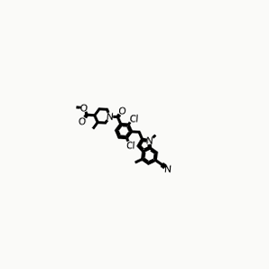 COC(=O)C1CCN(C(=O)c2ccc(Cl)c(Cc3cc4c(C)cc(C#N)cc4n3C)c2Cl)CC1C